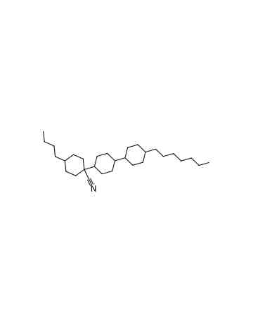 CCCCCCCC1CCC(C2CCC(C3(C#N)CCC(CCCC)CC3)CC2)CC1